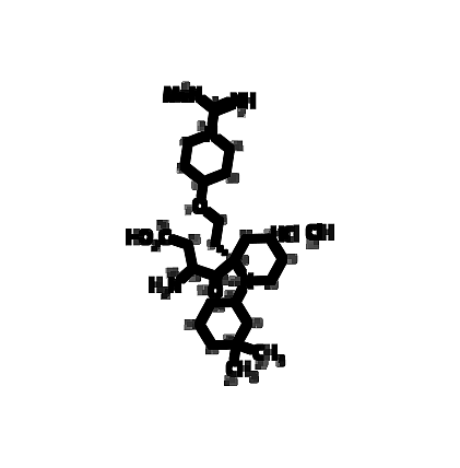 CNC(=N)N1CCC(OCC[C@]2(C(=O)C(N)CC(=O)O)CCCCN2C2CCCC(C)(C)C2)CC1.Cl.Cl